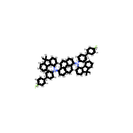 CC1(C)c2ccccc2-c2c(N(c3ccc(-c4ccc(F)cc4)cc3)c3ccc4ccc5c(N(c6ccc(-c7ccc(F)cc7)cc6)c6cccc7c6-c6ccccc6C7(C)C)ccc6ccc3c4c65)cccc21